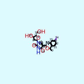 CC(OCc1cn([C@@H]2CC(O)[C@H](CO)O2)c(=O)[nH]c1=O)c1ccc(I)cc1[N+](=O)[O-]